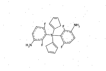 Nc1ccc(F)[c]([Ti]([C]2=CC=CC2)([C]2=CC=CC2)[c]2c(F)ccc(N)c2F)c1F